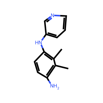 Cc1c(N)ccc(Nc2cccnc2)c1C